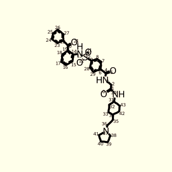 O=C(CNC(=O)c1ccc(S(=O)(=O)Nc2ccccc2C(=O)c2ccccc2)cc1)NC1CCC(CCN2CCCC2)CC1